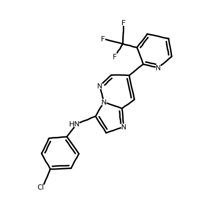 FC(F)(F)c1cccnc1-c1cnn2c(Nc3ccc(Cl)cc3)cnc2c1